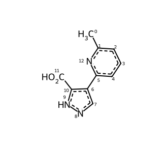 Cc1cccc(-c2cn[nH]c2C(=O)O)n1